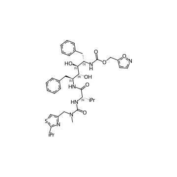 CC(C)c1nc(CN(C)C(=O)N[C@H](C(=O)N[C@@H](Cc2ccccc2)[C@@H](O)[C@@H](O)[C@H](Cc2ccccc2)NC(=O)OCc2ccno2)C(C)C)cs1